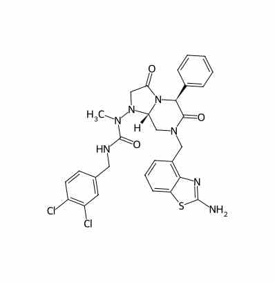 CN(C(=O)NCc1ccc(Cl)c(Cl)c1)N1CC(=O)N2[C@@H](c3ccccc3)C(=O)N(Cc3cccc4sc(N)nc34)C[C@@H]21